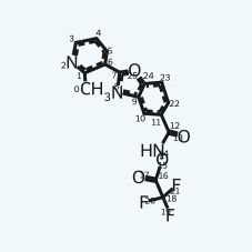 Cc1ncccc1-c1nc2cc(C(=O)NOC(=O)C(F)(F)F)ccc2o1